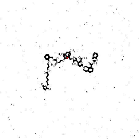 Cc1c(-c2ccc(N3CCc4cccc(C(=O)Nc5nc6ccccc6s5)c4C3)nc2C(=O)O)cnn1CC12CC3(C)CC(C)(C1)CC(OCCN(C)C(=O)OCc1cc[c]cc1OCCCNC(=O)CCCCCN1C(=O)C=CC1=O)(C3)C2